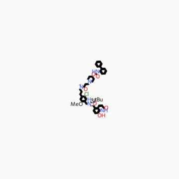 COc1cc(CCCN(C)C(=O)CCN2CCC(OC(=O)Nc3ccccc3-c3ccccc3)CC2)c(Cl)cc1CNC[C@H](O[Si](C)(C)C(C)(C)C)c1ccc(O)c2[nH]c(=O)ccc12